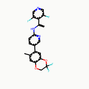 C=C(Nc1ccc(-c2cc3c(cc2C)OCC(F)(F)O3)cn1)c1c(F)cncc1F